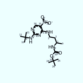 CC(CCNc1nc(NC(C)(C)C)ncc1[N+](=O)[O-])NC(=O)OC(C)(C)C